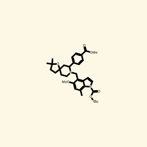 COC(=O)c1ccc(C2CC3(CCN2Cc2c(OC)cc(C)c4c2ccn4C(=O)OC(C)(C)C)CCC(C)(C)O3)cc1